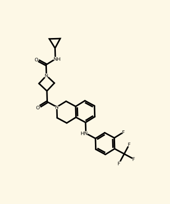 O=C(NC1CC1)N1CC(C(=O)N2CCc3c(cccc3Nc3ccc(C(F)(F)F)c(F)c3)C2)C1